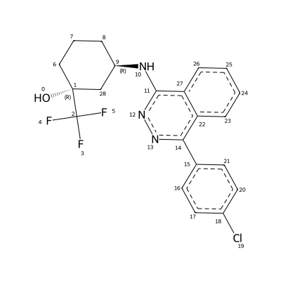 O[C@]1(C(F)(F)F)CCC[C@@H](Nc2nnc(-c3ccc(Cl)cc3)c3ccccc23)C1